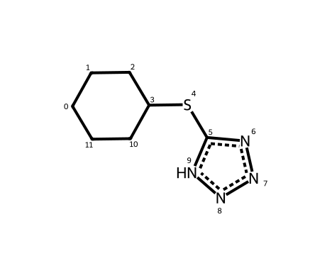 C1CCC(Sc2nnn[nH]2)CC1